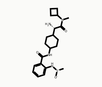 CN(C(=O)[C@@H](N)C1CCC(NC(=O)c2ccccc2N[S+](C)[O-])CC1)C1CCC1